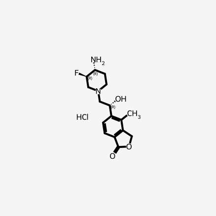 Cc1c([C@@H](O)CN2CC[C@@H](N)[C@H](F)C2)ccc2c1COC2=O.Cl